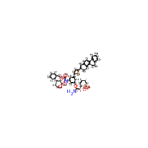 NC(=O)CC1C=CC=CS1(=O)=O.O=C(OCc1ccccc1)N(OC1CCCCO1)c1cccc(-c2ccc(C3=Cc4ccc5c(c4CC3)CCc3ccccc3-5)s2)c1